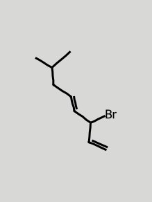 C=CC(Br)C=CCC(C)C